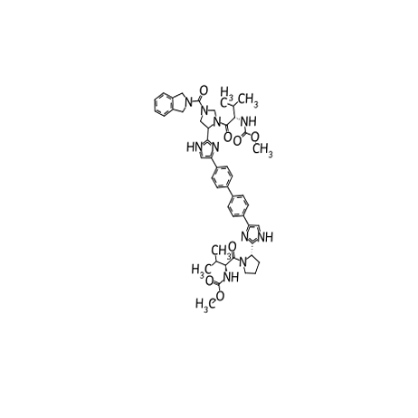 COC(=O)N[C@H](C(=O)N1CN(C(=O)N2Cc3ccccc3C2)CC1c1nc(-c2ccc(-c3ccc(-c4c[nH]c([C@@H]5CCCN5C(=O)[C@@H](NC(=O)OC)C(C)C)n4)cc3)cc2)c[nH]1)C(C)C